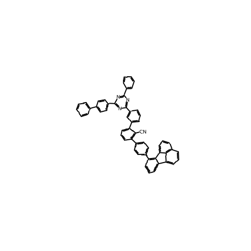 N#Cc1c(-c2ccc(-c3cccc4c3-c3cccc5cccc-4c35)cc2)cccc1-c1cccc(-c2nc(-c3ccccc3)nc(-c3ccc(-c4ccccc4)cc3)n2)c1